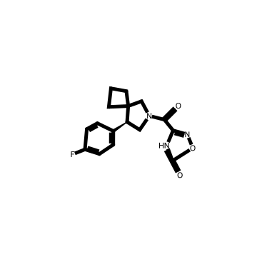 O=C(c1noc(=O)[nH]1)N1C[C@@H](c2ccc(F)cc2)C2(CCC2)C1